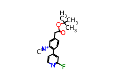 [C-]#[N+]c1cc(CC(=O)OC(C)(C)C)ccc1-c1ccnc(F)c1